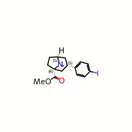 COC(=O)[C@@]12CC[C@@H](C[C@H](c3ccc(I)cc3)C1)N2C